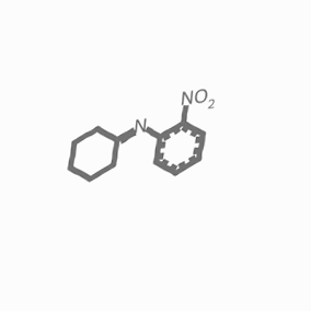 O=[N+]([O-])c1ccccc1N=C1CCCCC1